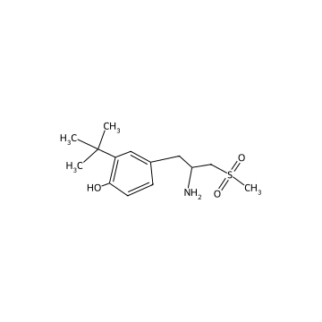 CC(C)(C)c1cc(CC(N)CS(C)(=O)=O)ccc1O